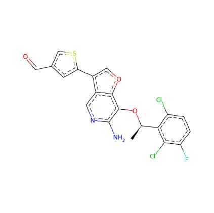 C[C@@H](Oc1c(N)ncc2c(-c3cc(C=O)cs3)coc12)c1c(Cl)ccc(F)c1Cl